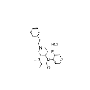 COC(C)C(=O)N(c1ccccc1F)C1CCN(CCc2ccccc2)CC1.Cl